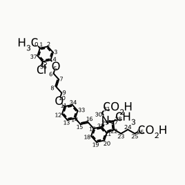 Cc1ccc(OCC=CCOc2ccc(C=Cc3cccc4c(CCCC(=O)O)c(C)n(CC(=O)O)c34)cc2)c(Cl)c1